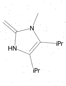 C=C1NC(C(C)C)=C(C(C)C)N1C